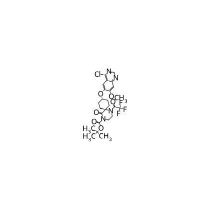 COc1cc2ncnc(Cl)c2cc1O[C@H]1CC[C@]2(CC1)C(=O)N(C(=O)OC(C)(C)C)CCN2C(=O)C(F)(F)F